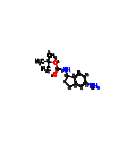 CC(C)(C)OC(=O)NC1CCc2cc(N)ccc21